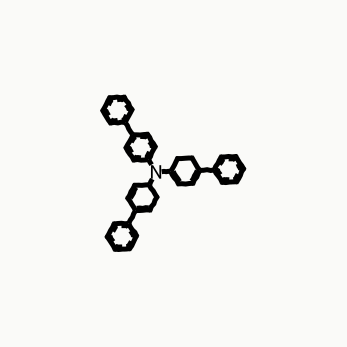 C1=CC(N(C2=CC=C(c3ccccc3)CC2)c2ccc(-c3ccccc3)cc2)CC=C1c1ccccc1